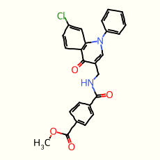 COC(=O)c1ccc(C(=O)NCc2cn(-c3ccccc3)c3cc(Cl)ccc3c2=O)cc1